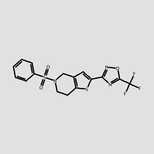 O=S(=O)(c1ccccc1)N1CCc2sc(-c3noc(C(F)(F)F)n3)cc2C1